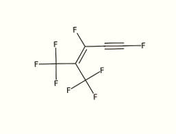 FC#CC(F)=C(C(F)(F)F)C(F)(F)F